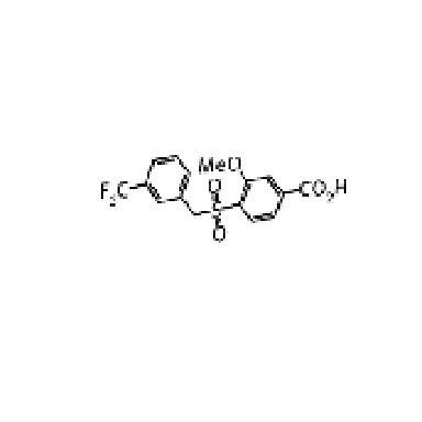 COc1cc(C(=O)O)ccc1S(=O)(=O)Cc1cccc(C(F)(F)F)c1